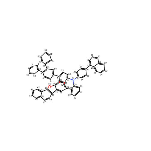 c1ccc(-c2ccc(-c3ccc(N(c4ccc(-c5cccc6ccccc56)cc4)c4ccccc4-c4ccc5oc6c7ccccc7ccc6c5c4)cc3)cc2-c2ccccc2)cc1